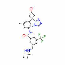 COC1CC(c2cc(C)cc(N3Cc4c(cc(CNC5(C)CCC5)cc4C(F)(F)F)C3=O)c2)(c2nncn2C)C1